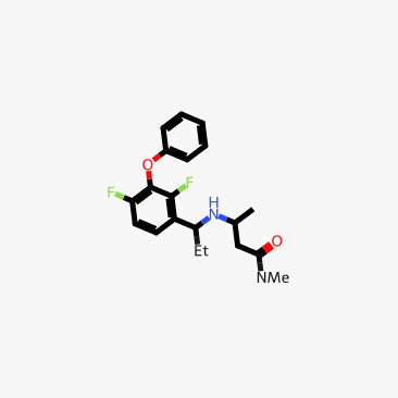 CCC(NC(C)CC(=O)NC)c1ccc(F)c(Oc2ccccc2)c1F